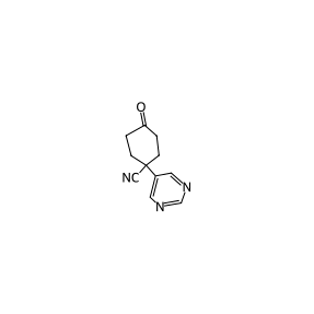 N#CC1(c2cncnc2)CCC(=O)CC1